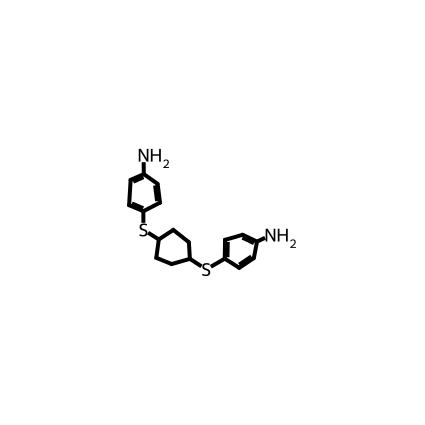 Nc1ccc(SC2CCC(Sc3ccc(N)cc3)CC2)cc1